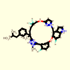 CC(Cc1cccc(C2(C)CCC(F)(F)COc3ccn(n3)Cc3c(c(F)cc4[nH]ccc34)Oc3ccc(F)c(c3)-c3nc2nn3C)c1)C(=O)O